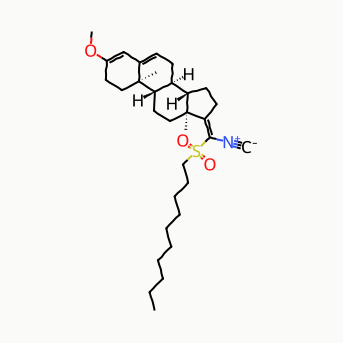 [C-]#[N+]/C(=C1\CC[C@H]2[C@@H]3CC=C4C=C(OC)CC[C@]4(C)[C@H]3CC[C@]12C)S(=O)(=O)CCCCCCCCCC